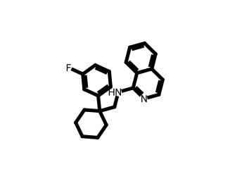 Fc1cccc(C2(CNc3nccc4ccccc34)CCCCC2)c1